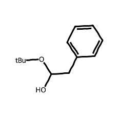 CC(C)(C)OC(O)Cc1ccccc1